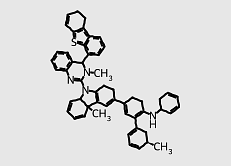 C[C@H]1C=CC=C(C2=C(NC3C=CC=CC3)CCC(C3=CC4=C(CC3)N(C3=Nc5ccccc5C(c5cccc6c7c(sc56)C=CCC7)N3C)C3C=CC=CC43C)=C2)C1